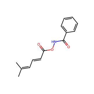 CC(C)=CC=CC(=O)ONC(=O)c1ccccc1